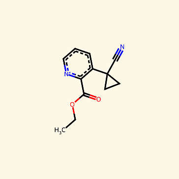 CCOC(=O)c1ncccc1C1(C#N)CC1